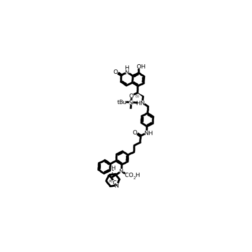 CC(C)(C)[Si](C)(C)O[C@H](CNCc1ccc(NC(=O)CCCc2ccc(-c3ccccc3)c(N(C(=O)O)[C@H]3CN4CCC3CC4)c2)cc1)c1ccc(O)c2[nH]c(=O)ccc12